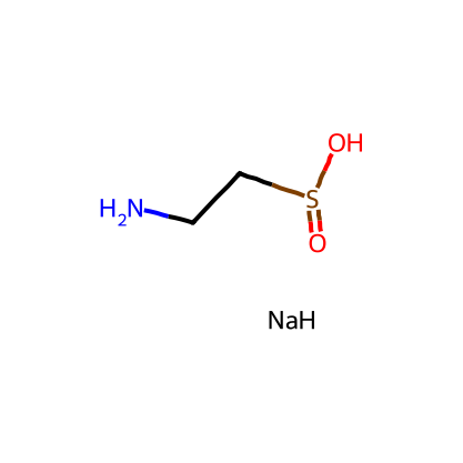 NCCS(=O)O.[NaH]